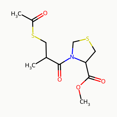 COC(=O)C1CSCN1C(=O)C(C)CSC(C)=O